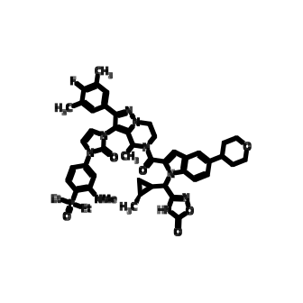 CCP(=O)(CC)c1ccc(-n2ccn(-c3c(-c4cc(C)c(F)c(C)c4)nn4c3C(C)N(C(=O)c3cc5cc(C6CCOCC6)ccc5n3C(c3noc(=O)[nH]3)C3C[C@@H]3C)CC4)c2=O)cc1NC